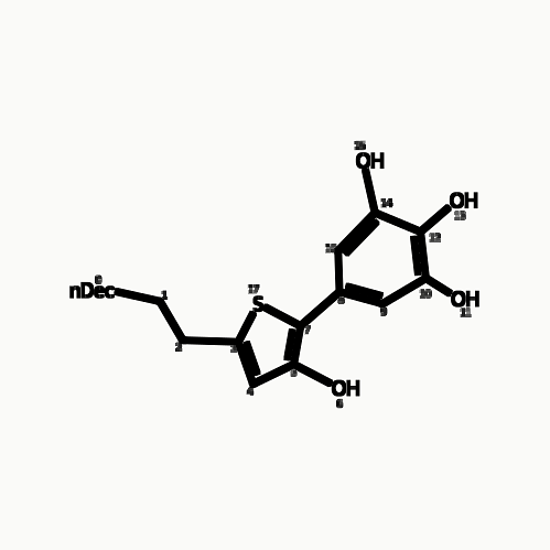 CCCCCCCCCCCCc1cc(O)c(-c2cc(O)c(O)c(O)c2)s1